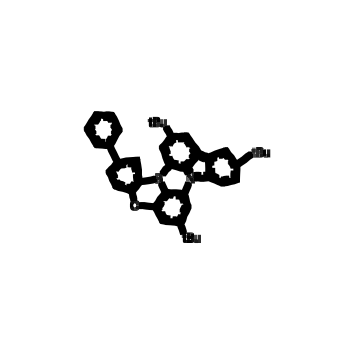 CC(C)(C)c1cc2c3c(c1)-n1c4ccc(C(C)(C)C)cc4c4cc(C(C)(C)C)cc(c41)B3c1cc(-c3ccccc3)ccc1O2